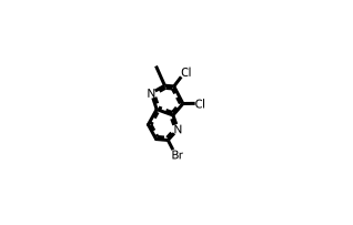 Cc1nc2ccc(Br)nc2c(Cl)c1Cl